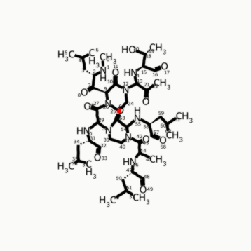 CN[C@@H](CC(C)C)C(=O)[C@H]1C(=O)N(C(N[C@H](C=O)[C@@H](C)O)C(C)=O)CCN1C(=O)C(N[C@H](C=O)CC(C)C)N1CCN(C(=O)C(C)N[C@H](C=O)CC(C)C)C(N[C@H](C=O)CC(C)C)C1=O